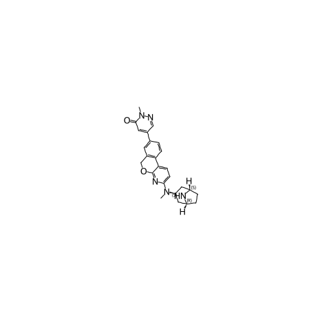 CN(c1ccc2c(n1)OCc1cc(-c3cnn(C)c(=O)c3)ccc1-2)[C@@H]1C[C@H]2CC[C@@H](C1)N2